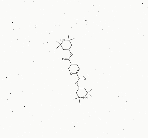 CC1(C)CC(OC(=O)C2=CCC(C(=O)OC3CC(C)(C)NC(C)(C)C3)CO2)CC(C)(C)N1